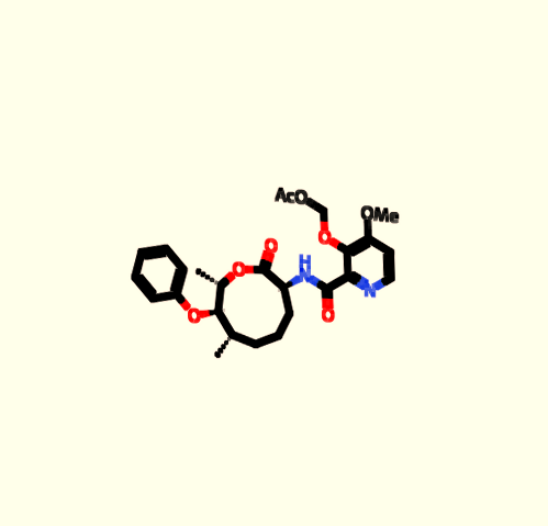 COc1ccnc(C(=O)N[C@H]2CCC[C@H](C)[C@@H](Oc3ccccc3)[C@H](C)OC2=O)c1OCOC(C)=O